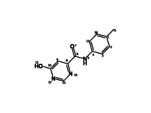 Cc1ccc(NC(=O)c2cc(O)ncn2)cc1